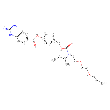 N=C(N)Nc1ccc(C(=O)Oc2ccc(COC(=O)N(CCOCCOCCC(=O)O)C(CC(=O)O)C(=O)O)cc2)cc1